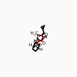 CN1CCC[C@@H](S(=O)(=O)N2[C@@H]3CC[C@H]2C[C@@H](NC(=O)c2cc(C4CC4)on2)C3)C1